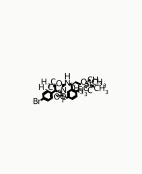 CC1(C)OC(N[C@@H](CCO[Si](C)(C)C(C)(C)C)c2cc(F)ccc2F)=NS(=O)(=O)C1c1ccc(Br)cc1